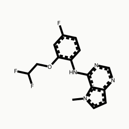 Cn1ccc2ncnc(Nc3ccc(F)cc3OCC(F)F)c21